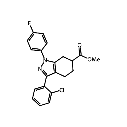 COC(=O)C1CCc2c(-c3ccccc3Cl)nn(-c3ccc(F)cc3)c2C1